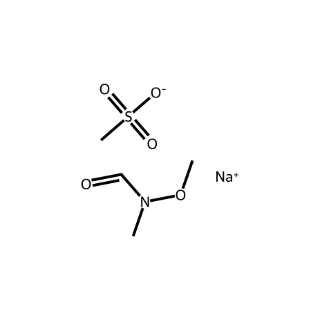 CON(C)C=O.CS(=O)(=O)[O-].[Na+]